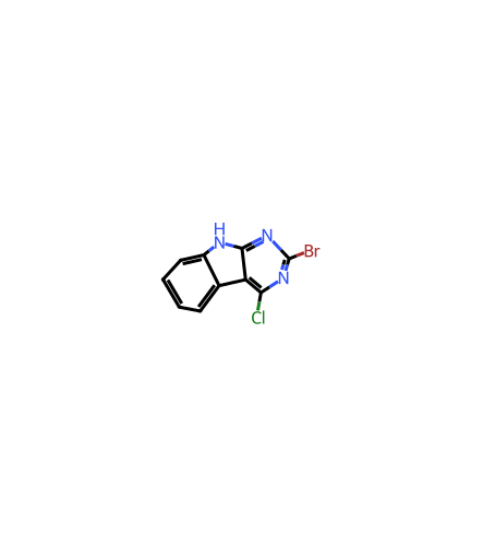 Clc1nc(Br)nc2[nH]c3ccccc3c12